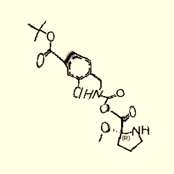 CO[C@@]1(C(=O)OC(=O)NCc2ccc(C(=O)OC(C)(C)C)cc2Cl)CCCN1